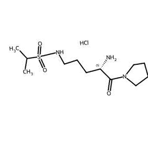 CC(C)S(=O)(=O)NCCC[C@H](N)C(=O)N1CCCC1.Cl